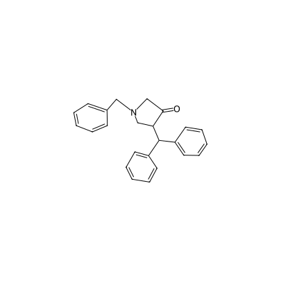 O=C1CN(Cc2ccccc2)CC1C(c1ccccc1)c1ccccc1